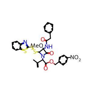 C=C(C)C(C(=O)OCc1ccc([N+](=O)[O-])cc1)N1C(=O)C(NC(=O)Cc2ccccc2)(OC)C1SSc1nc2ccccc2s1